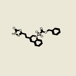 O=C(OCc1ccccc1)S(=O)(=O)N1CC(CCc2n[nH]c(=O)o2)=Cc2ccccc21